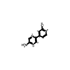 Nc1cnc(-c2ccnc(Cl)c2)cn1